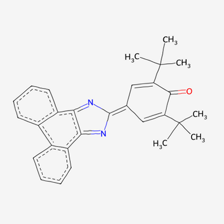 CC(C)(C)C1=CC(=C2N=c3c(c4ccccc4c4ccccc34)=N2)C=C(C(C)(C)C)C1=O